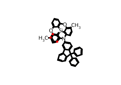 Cc1ccc2c3c1Oc1cccc4c1[Si]3(c1ccccc1)c1c(ccc(C)c1O4)N2c1ccc2c(c1)-c1ccccc1C2(c1ccccc1)c1ccccc1